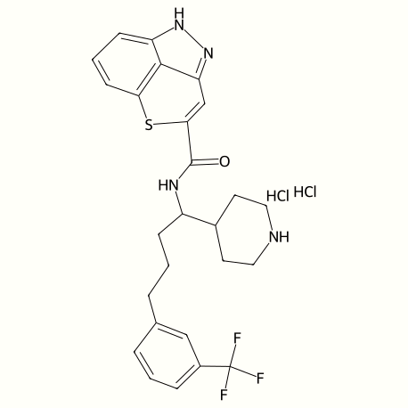 Cl.Cl.O=C(NC(CCCc1cccc(C(F)(F)F)c1)C1CCNCC1)C1=Cc2n[nH]c3cccc(c23)S1